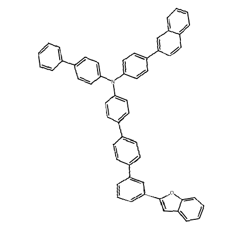 c1ccc(-c2ccc(N(c3ccc(-c4ccc(-c5cccc(-c6cc7ccccc7o6)c5)cc4)cc3)c3ccc(-c4ccc5ccccc5c4)cc3)cc2)cc1